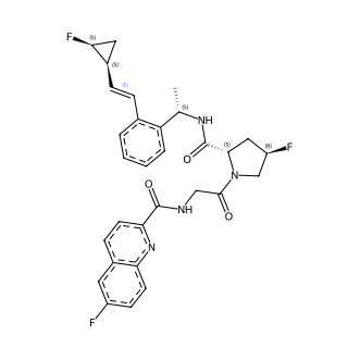 C[C@H](NC(=O)[C@@H]1C[C@@H](F)CN1C(=O)CNC(=O)c1ccc2cc(F)ccc2n1)c1ccccc1/C=C/[C@@H]1C[C@@H]1F